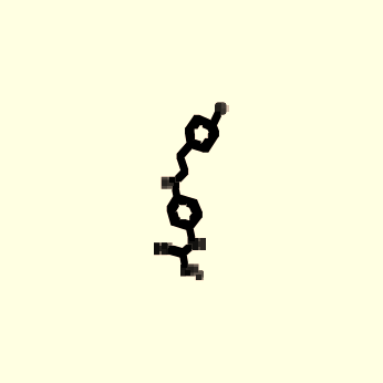 N=C(N)Nc1ccc(NCCc2ccc([O])cc2)cc1